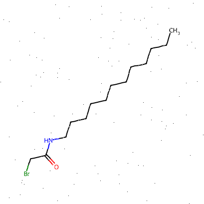 CCCCCCCCCCCCNC(=O)CBr